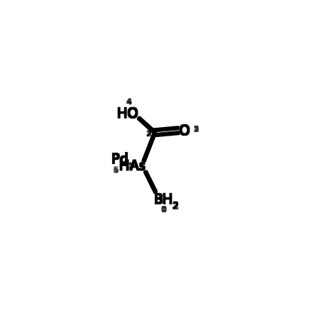 B[AsH]C(=O)O.[Pd]